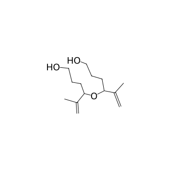 C=C(C)C(CCCO)OC(CCCO)C(=C)C